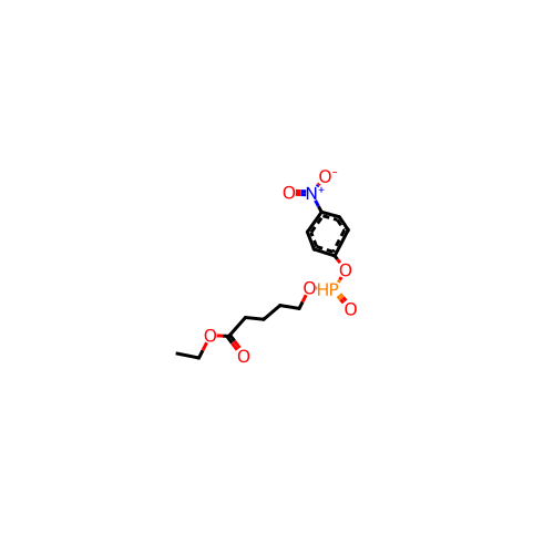 CCOC(=O)CCCCO[PH](=O)Oc1ccc([N+](=O)[O-])cc1